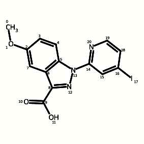 COc1ccc2c(c1)c(C(=O)O)nn2-c1cc(I)ccn1